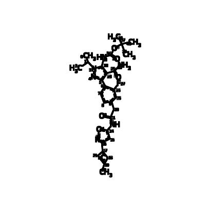 CC(C)n1nc(-c2ccc(CC(=O)Nc3cc(C45CC(C)(C4)C5)no3)cc2F)c(C(N)=O)c1NC(=O)OC(C)(C)C